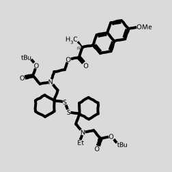 [CH2]CN(CC(=O)OC(C)(C)C)CC1(SSC2(CN(CCOC(=O)[C@@H](C)c3ccc4cc(OC)ccc4c3)CC(=O)OC(C)(C)C)CCCCC2)CCCCC1